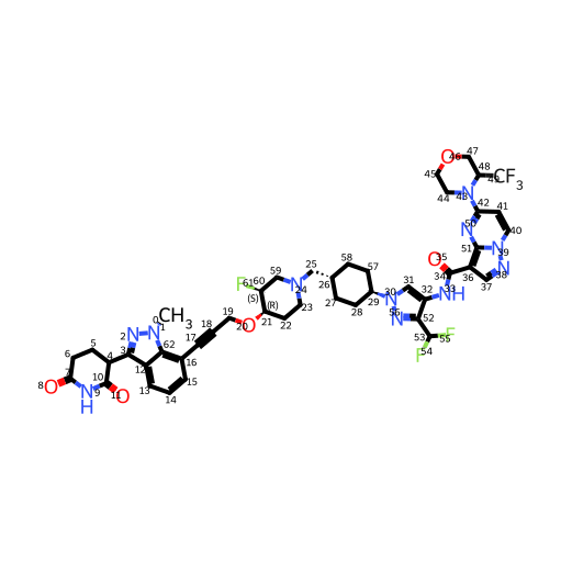 Cn1nc(C2CCC(=O)NC2=O)c2cccc(C#CCO[C@@H]3CCN(C[C@H]4CC[C@H](n5cc(NC(=O)c6cnn7ccc(N8CCOCC8C(F)(F)F)nc67)c(C(F)F)n5)CC4)C[C@@H]3F)c21